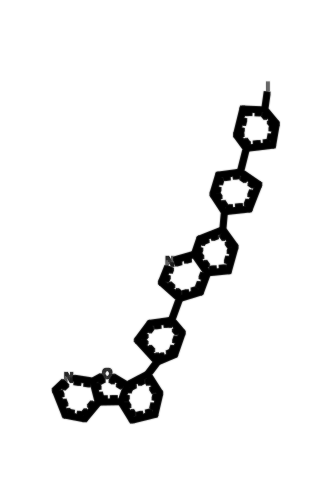 Ic1ccc(-c2ccc(-c3ccc4cc(-c5ccc(-c6cccc7c6oc6ncccc67)cc5)cnc4c3)cc2)cc1